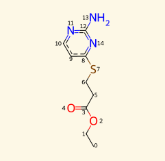 CCOC(=O)CCSc1ccnc(N)n1